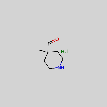 CC1(C=O)CCNCC1.Cl